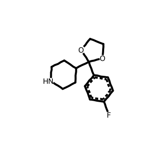 Fc1ccc(C2(C3CCNCC3)OCCO2)cc1